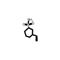 C=CC1CCC[C@H](S(N)(=O)=O)C1